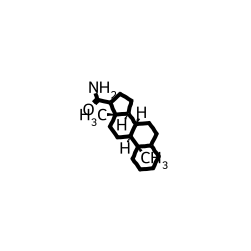 C[C@]12CCCCC1CC[C@@H]1[C@@H]2CC[C@]2(C)C(C(N)=O)CC[C@@H]12